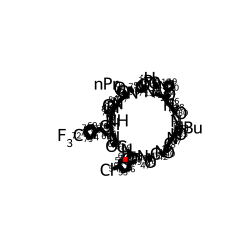 CCCOC[C@H]1C(=O)N(C)[C@@H](CC(C)C)C(=O)N[C@H](C(=O)N2CCCC2)CC(=O)N(C)[C@@H](C)C(=O)N[C@@H]([C@@H](C)CC)C(=O)N(C)CC(=O)N(C)CC(=O)N(C)[C@@H](Cc2ccc(Cl)cc2)C(=O)N(C)CC(=O)N[C@@H](CCc2ccc(C(F)(F)F)cc2)C(=O)N[C@@H](CC(C)C)C(=O)N1C